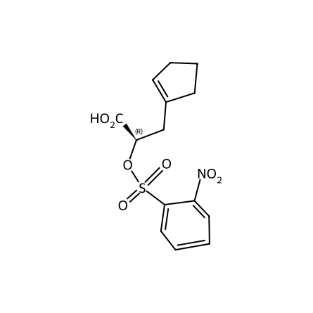 O=C(O)[C@@H](CC1=CCCC1)OS(=O)(=O)c1ccccc1[N+](=O)[O-]